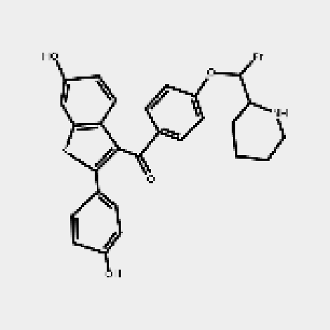 CCC(Oc1ccc(C(=O)c2c(-c3ccc(O)cc3)sc3cc(O)ccc23)cc1)C1CCCCN1